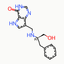 O=c1[nH]cnc2c(CN[C@@H](CO)Cc3ccccc3)c[nH]c12